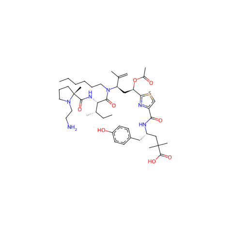 C=C(C)[C@@H](C[C@@H](OC(C)=O)c1nc(C(=O)N[C@@H](Cc2ccc(O)cc2)CC(C)(C)C(=O)O)cs1)N(CCCCCC)C(=O)[C@@H](NC(=O)[C@@]1(C)CCCN1CCN)[C@@H](C)CC